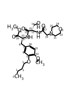 CCCCOc1cc(C[C@H](NC(=O)[C@H](CO)NC(=O)CN2CCOCC2)C(=O)OC)ccc1OC